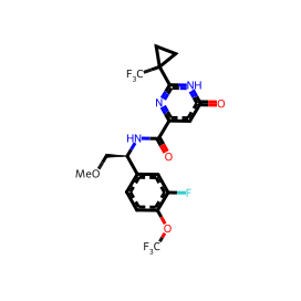 COC[C@@H](NC(=O)c1cc(=O)[nH]c(C2(C(F)(F)F)CC2)n1)c1ccc(OC(F)(F)F)c(F)c1